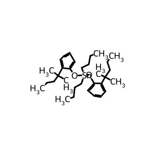 CCC[CH2][Sn]([CH2]CCC)([O]c1ccccc1C(C)(C)CCC)[O]c1ccccc1C(C)(C)CCC